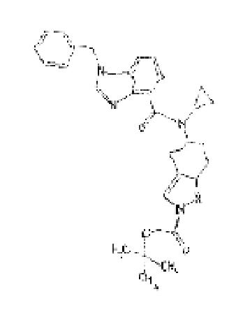 CC(C)(C)OC(=O)n1cc2c(n1)CCC(N(C(=O)c1cccc3c1ncn3Cc1ccccc1)C1CC1)C2